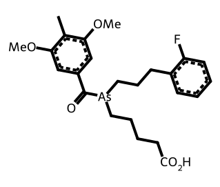 COc1cc(C(=O)[As](CCCCC(=O)O)CCCc2ccccc2F)cc(OC)c1C